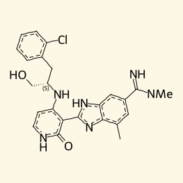 CNC(=N)c1cc(C)c2nc(-c3c(N[C@H](CO)Cc4ccccc4Cl)cc[nH]c3=O)[nH]c2c1